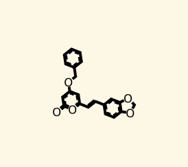 O=c1cc(OCc2ccccc2)cc(/C=C/c2ccc3c(c2)OCO3)o1